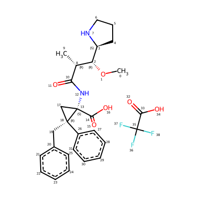 CO[C@@H]([C@@H]1CCCN1)[C@@H](C)C(=O)N[C@@]1(C(=O)O)C[C@]1(Cc1ccccc1)c1ccccc1.O=C(O)C(F)(F)F